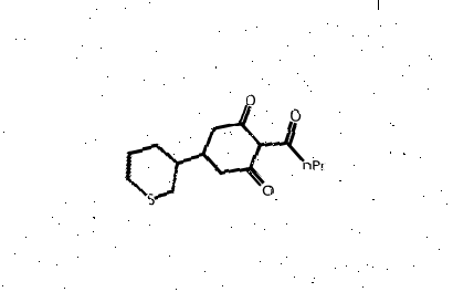 CCCC(=O)C1C(=O)CC(C2CCCSC2)CC1=O